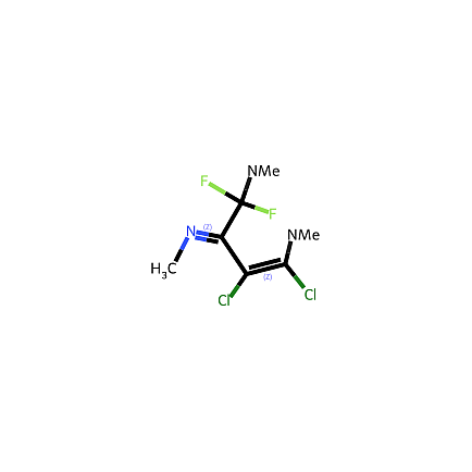 C/N=C(\C(Cl)=C(\Cl)NC)C(F)(F)NC